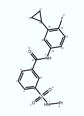 CC(C)NS(=O)(=O)c1cccc(C(=O)Nc2ccc(F)c(C3CC3)c2)c1